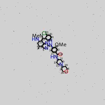 CN/C(=C1\C(=N)CC(C)c2cnc(Nc3ccc(C(=O)NC4CCN(C5CCOCC5)CC4)cc3OC)nc21)c1ccccc1Cl